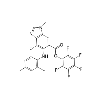 Cn1cnc2c(F)c(Nc3ccc(I)cc3F)c(C(=O)Oc3c(F)c(F)c(F)c(F)c3F)cc21